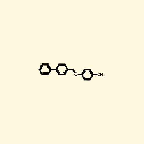 Cc1ccc(OCc2ccc(-c3ccccc3)cc2)cc1